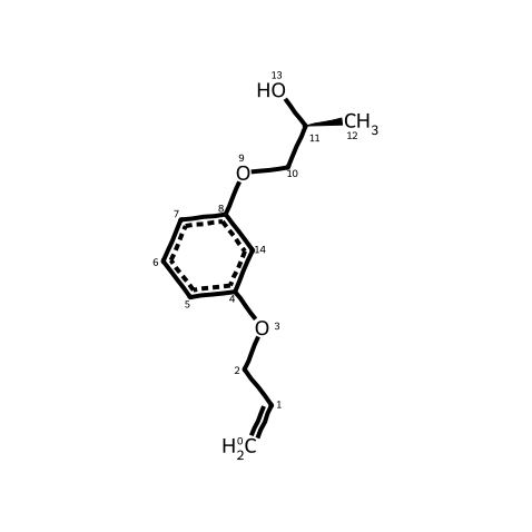 C=CCOc1cccc(OC[C@H](C)O)c1